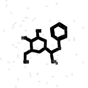 CC(Oc1ccccc1)N1CC(O)C(O)C(CO)C1